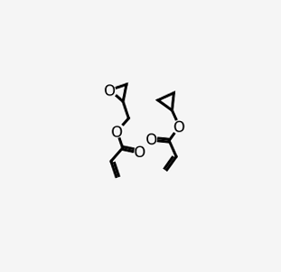 C=CC(=O)OC1CC1.C=CC(=O)OCC1CO1